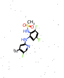 [2H]c1cc(Nc2cc(F)cc(F)c2NS(C)(=O)=O)ncc1F